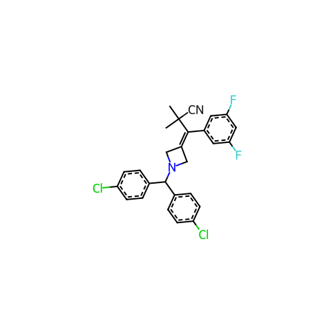 CC(C)(C#N)C(=C1CN(C(c2ccc(Cl)cc2)c2ccc(Cl)cc2)C1)c1cc(F)cc(F)c1